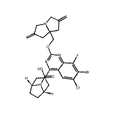 C=C1CN2CC(=C)CC2(COc2nc(N3C[C@H]4CC[C@@H](C3)N4C(=O)O)c3cc(Cl)c(Br)c(F)c3n2)C1